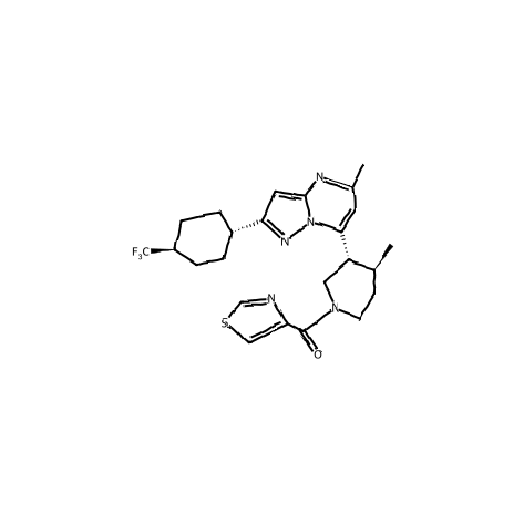 Cc1cc([C@H]2CN(C(=O)c3cscn3)CC[C@@H]2C)n2nc([C@H]3CC[C@H](C(F)(F)F)CC3)cc2n1